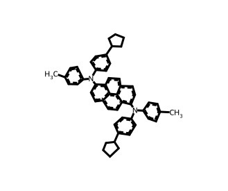 Cc1ccc(N(c2ccc(C3CCCC3)cc2)c2ccc3ccc4c(N(c5ccc(C)cc5)c5ccc(C6CCCC6)cc5)ccc5ccc2c3c54)cc1